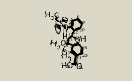 CCS(=O)(=O)Nc1ccccc1C1CC(C)(C)c2cc(C(=O)O)ccc2N1